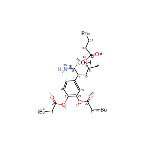 CCC(C)CC(=O)Oc1ccc(C(CC(C)OC(=O)CCC(C)C)[C@H](N)C(=O)O)cc1OC(=O)CC(C)CC